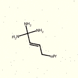 CCCCC=CC(N)(N)N